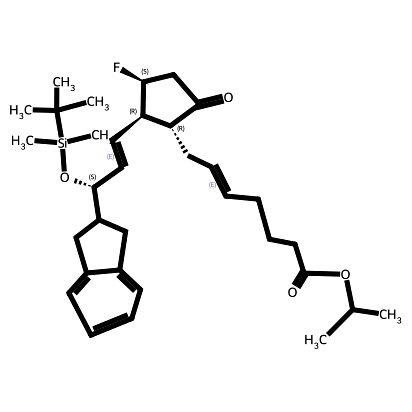 CC(C)OC(=O)CCC/C=C/C[C@H]1C(=O)C[C@H](F)[C@@H]1/C=C/[C@@H](O[Si](C)(C)C(C)(C)C)C1Cc2ccccc2C1